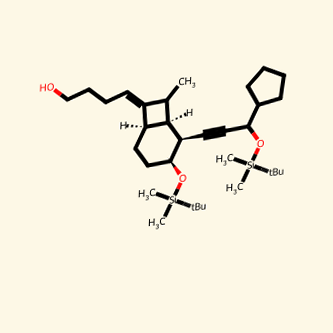 CC1/C(=C/CCCO)[C@@H]2CC[C@H](O[Si](C)(C)C(C)(C)C)[C@H](C#CC(O[Si](C)(C)C(C)(C)C)C3CCCC3)[C@H]12